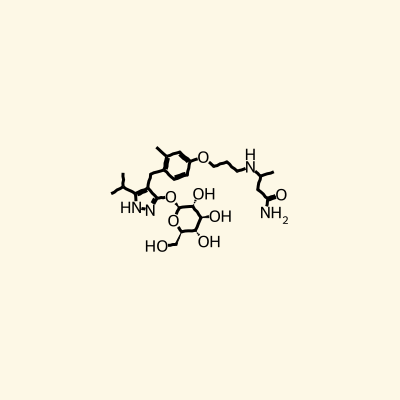 Cc1cc(OCCCNC(C)CC(N)=O)ccc1Cc1c(O[C@@H]2O[C@H](CO)[C@@H](O)[C@H](O)[C@H]2O)n[nH]c1C(C)C